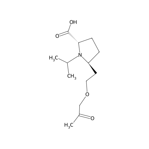 CC(=O)COCC[C@@H]1CC[C@@H](C(=O)O)N1C(C)C